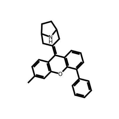 Cc1ccc2c(c1)Oc1c(cccc1-c1ccccc1)C2=C1CC2CCC(C1)N2